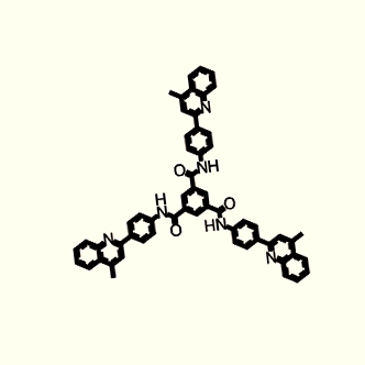 Cc1cc(-c2ccc(NC(=O)c3cc(C(=O)Nc4ccc(-c5cc(C)c6ccccc6n5)cc4)cc(C(=O)Nc4ccc(-c5cc(C)c6ccccc6n5)cc4)c3)cc2)nc2ccccc12